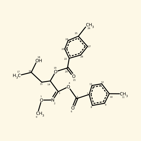 CON=C(OC(=O)c1ccc(C)cc1)C(CC(C)O)OC(=O)c1ccc(C)cc1